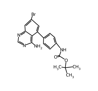 CC(C)(C)OC(=O)Nc1ccc(-c2cc(Br)cc3ncnc(N)c23)cc1